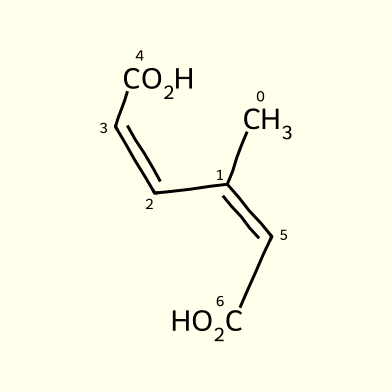 CC(/C=C\C(=O)O)=C/C(=O)O